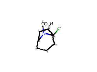 O=C(O)N1C2CCCC1(F)CC2